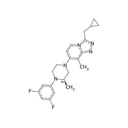 Cc1c(N2CCN(c3cc(F)cc(F)c3)[C@H](C)C2)ccn2c(CC3CC3)nnc12